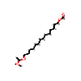 COC(C)OCCCCCCCCCCCCCCOC=O